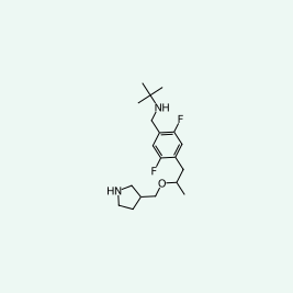 CC(Cc1cc(F)c(CNC(C)(C)C)cc1F)OCC1CCNC1